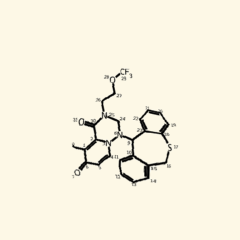 Cc1c2n(ccc1=O)N(C1c3ccccc3CSc3ccccc31)CN(CCOC(F)(F)F)C2=O